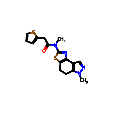 CN(C(=O)Cc1cccs1)c1nc2c(s1)CCc1c-2cnn1C